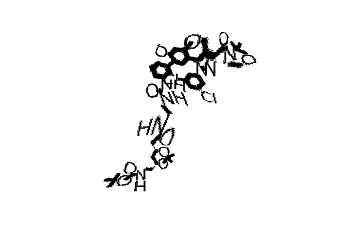 COc1cc2c(cc1-c1cccc(NC(=O)NCCNC(=O)C[C@H]3C[C@@H](CCNC(=O)OC(C)(C)C)OC(C)(C)O3)c1)-c1c(c(C(=O)N3CCOCC3(C)C)nn1-c1cc(Cl)cc(Cl)c1)CO2